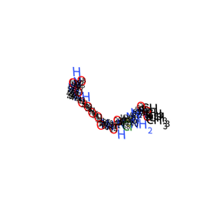 C[C@@H]1OCC2(CCN(c3cnc(Sc4cccc(NC(=O)CCC(=O)N5CCN(C(=O)CCOCCOCCOCCOCCNc6cccc7cnn(C8CCC(=O)NC8=O)c(=O)c67)CC5)c4Cl)c(N)n3)CC2)[C@@H]1NC(=O)OC(C)(C)C